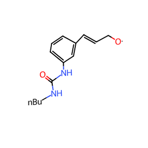 CCCCNC(=O)Nc1cccc(/C=C/C[O])c1